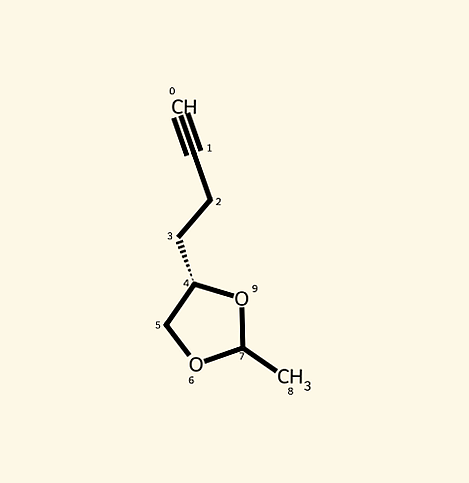 C#CCC[C@H]1COC(C)O1